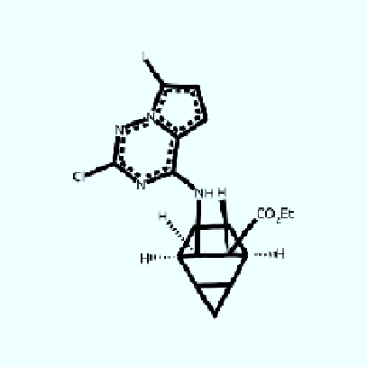 CCOC(=O)[C@H]1[C@H](Nc2nc(Cl)nn3c(I)ccc23)[C@@H]2CC[C@H]1C1CC12